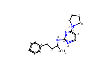 CC(CCc1ccccc1)Nc1nccc(N2CCCC2)n1